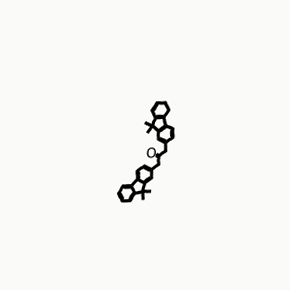 CC1(C)C2=C(CCC=C2)c2ccc(CC(=O)Cc3ccc4c(c3)C(C)(C)c3ccccc3-4)cc21